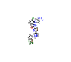 N[C@@H]1CCCN(c2c(F)cccc2NC(=O)c2csc(-c3cnn(Cc4ccccc4SC(F)(F)F)c3)n2)C1